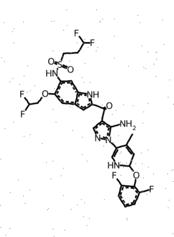 CC1=CC(Oc2c(F)cccc2F)NC=C1n1ncc(C(=O)c2cc3cc(OCC(F)F)c(NS(=O)(=O)CCC(F)F)cc3[nH]2)c1N